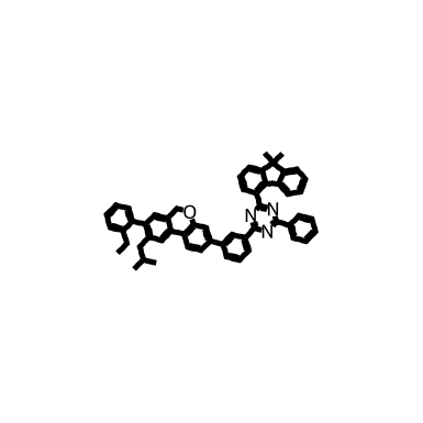 CCc1ccccc1-c1cc2c(cc1CC(C)C)-c1ccc(-c3cccc(-c4nc(-c5ccccc5)nc(-c5cccc6c5-c5ccccc5C6(C)C)n4)c3)cc1OC2